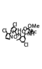 COC(=O)N(NC(=O)c1cc(Cl)cc(C)c1NC(=O)c1cc(Cl)cn1-c1ncccc1Cl)C(C)=O